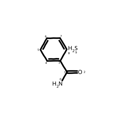 NC(=O)c1ccccc1.S